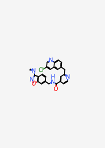 C=Nc1noc2cc(CNC(=O)c3ccnc(Cc4ccc5ncc(Cl)cc5c4)c3)ccc12